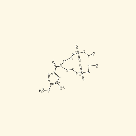 COc1ccc(C(=O)N(CCCS(=O)(=O)CCCl)CCCS(=O)(=O)CCCl)cc1N